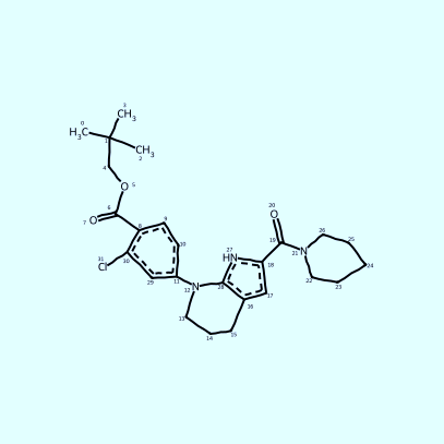 CC(C)(C)COC(=O)c1ccc(N2CCCc3cc(C(=O)N4CCCCC4)[nH]c32)cc1Cl